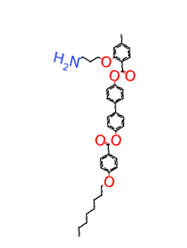 CCCCCCCCOc1ccc(C(=O)Oc2ccc(-c3ccc(OC(=O)c4ccc(C)cc4OCCCN)cc3)cc2)cc1